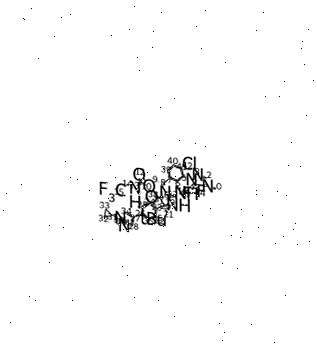 C=N/C=N\N(c1cc([C@@H](COC(=O)NCC(F)(F)F)N2C(=N)N[C@](CC(C)(C)C)(c3ccc(-c4cnn(C5CC5)c4)cc3)C2=O)ccc1Cl)C(F)F